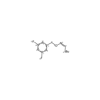 CC(C)(C)/[C]=N\OCc1cc(F)cc(F)c1